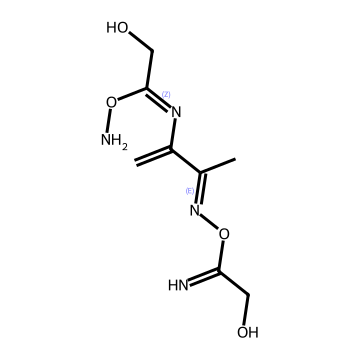 C=C(/N=C(/CO)ON)/C(C)=N/OC(=N)CO